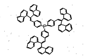 C(=C(c1cccc2ccccc12)c1cccc2ccccc12)c1ccc(P(c2ccc(C=C(c3cccc4ccccc34)c3cccc4ccccc34)cc2)c2ccc(C=C(c3cccc4ccccc34)c3cccc4ccccc34)cc2)cc1